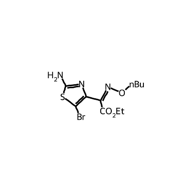 CCCCON=C(C(=O)OCC)c1nc(N)sc1Br